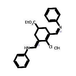 CCOC(=O)C1CC(/C=N\c2ccccc2)=C(Cl)C(=C/Nc2ccccc2)/C1.Cl